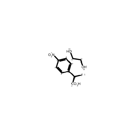 O=C(O)C(F)c1ccc([N+](=O)[O-])cc1.OCCO